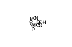 CN1CCCC(Oc2ccc3c(c2)CN(CC2CCCCC2)CC3)CC1.O=C(O)C(=O)O